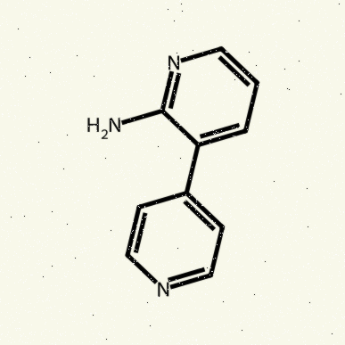 Nc1ncccc1-c1ccncc1